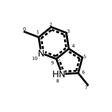 Cc1ccc2cc(C)[nH]c2n1